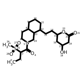 CCC(C(=O)N1CCC2CCCC(CCC3CC(O)CC(=O)O3)C2C1)S(C)(=O)=O